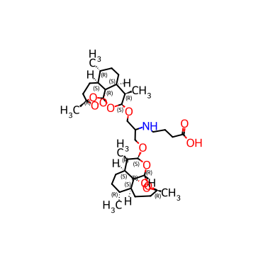 C[C@H]1[C@@H](OCC(CO[C@H]2O[C@@H]3O[C@@]4(C)CC[C@H]5[C@H](C)CC[C@@H]([C@H]2C)[C@@]35OO4)NCCCC(=O)O)OC2O[C@@]3(C)CC[C@H]4[C@H](C)CC[C@@H]1[C@@]24OO3